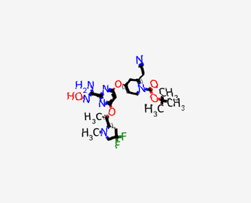 C[C@H](Oc1cc(O[C@H]2CCN(C(=O)OC(C)(C)C)[C@H](CC#N)C2)nc(C(N)=NO)n1)[C@@H]1CC(F)(F)CN1C